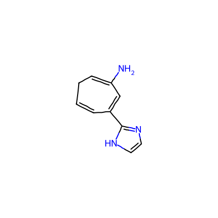 NC1=CCC=CC(c2ncc[nH]2)=C1